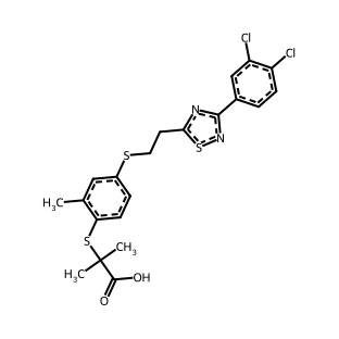 Cc1cc(SCCc2nc(-c3ccc(Cl)c(Cl)c3)ns2)ccc1SC(C)(C)C(=O)O